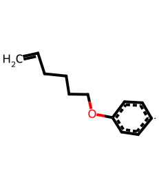 C=CCCCCOc1cc[c]cc1